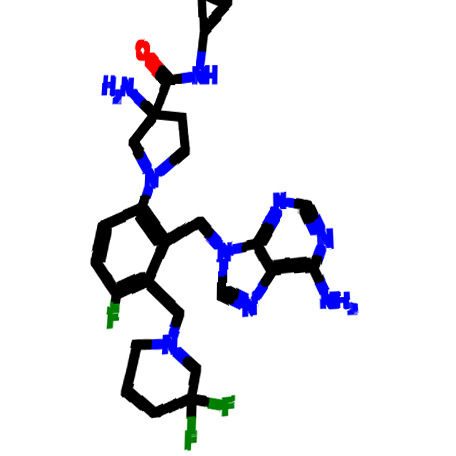 Nc1ncnc2c1ncn2Cc1c(N2CCC(N)(C(=O)NC3CC3)C2)ccc(F)c1CN1CCCC(F)(F)C1